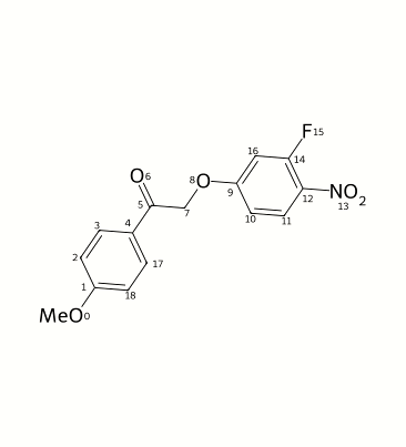 COc1ccc(C(=O)COc2ccc([N+](=O)[O-])c(F)c2)cc1